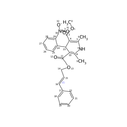 COC(=O)C1=C(C)NC(C)=C(C(=O)OC/C=C/c2ccccc2)C1c1ccccc1[N+](=O)[O-]